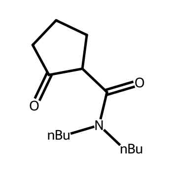 CCCCN(CCCC)C(=O)C1CCCC1=O